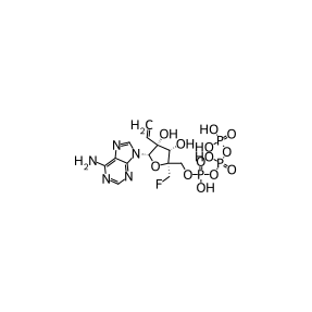 C=C[C@]1(O)[C@@H](n2cnc3c(N)ncnc32)O[C@](CF)(COP(=O)(O)OP(=O)(O)OP(=O)(O)O)[C@H]1O